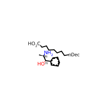 CCCCCCCCCCCCCCCCCC(=O)O.C[C@@H](N)[C@@H](O)c1ccccc1